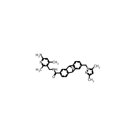 Cc1cc(C)n(Cc2ccc3c(c2)C2OC3c3cc(C(=O)NCc4c(C)cc(N)nc4C)ccc32)n1